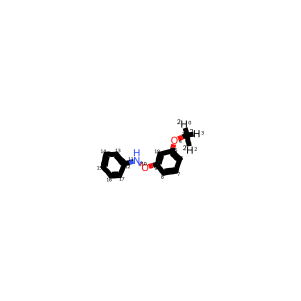 [2H]C([2H])([2H])Oc1cccc(ONc2ccccc2)c1